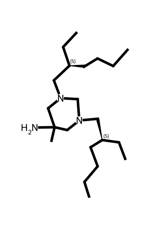 CCCC[C@H](CC)CN1CN(C[C@@H](CC)CCCC)CC(C)(N)C1